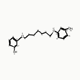 Oc1cccc(OCCCCCCCOc2cccc(O)c2)c1